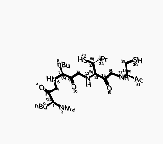 CCCC[C@H](NC)C(=O)CN[C@@H](CCCC)C(=O)CN[C@H](C(=O)CN[C@@H](CS)C(C)=O)[C@H](S)C(C)C